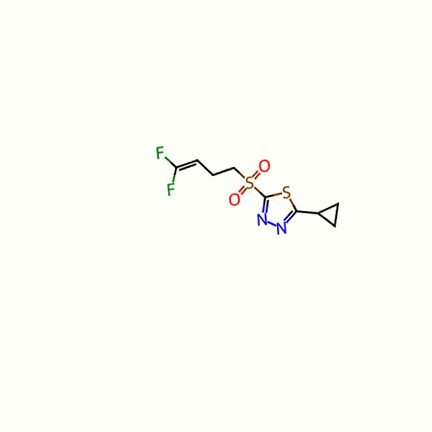 O=S(=O)(CCC=C(F)F)c1nnc(C2CC2)s1